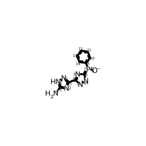 Nc1nc(C2=N/C(=[P+](/[O-])c3ccccc3)N=N2)n[nH]1